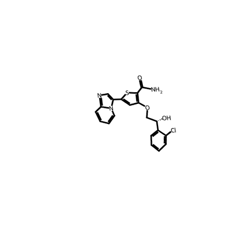 NC(=O)c1sc(-c2cnc3ccccn23)cc1OC[C@H](O)c1ccccc1Cl